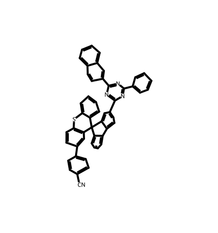 N#Cc1ccc(-c2ccc3c(c2)C2(c4ccccc4S3)c3ccccc3-c3ccc(-c4nc(-c5ccccc5)nc(-c5ccc6ccccc6c5)n4)cc32)cc1